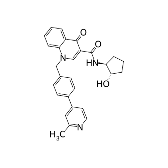 Cc1cc(-c2ccc(Cn3cc(C(=O)N[C@H]4CCC[C@@H]4O)c(=O)c4ccccc43)cc2)ccn1